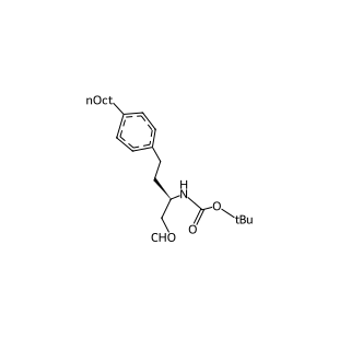 CCCCCCCCc1ccc(CC[C@H](CC=O)NC(=O)OC(C)(C)C)cc1